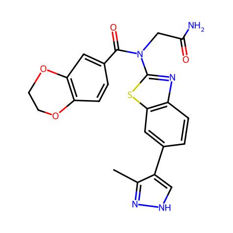 Cc1n[nH]cc1-c1ccc2nc(N(CC(N)=O)C(=O)c3ccc4c(c3)OCCO4)sc2c1